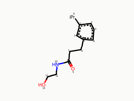 CC(C)c1cccc(CCC(=O)NCCO)c1